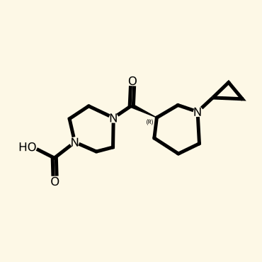 O=C(O)N1CCN(C(=O)[C@@H]2CCCN(C3CC3)C2)CC1